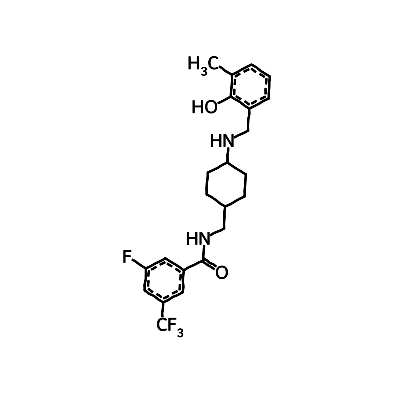 Cc1cccc(CNC2CCC(CNC(=O)c3cc(F)cc(C(F)(F)F)c3)CC2)c1O